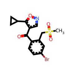 CS(=O)(=O)Cc1cc(Br)ccc1C(=O)c1cnoc1C1CC1